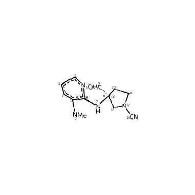 CNc1cccnc1N[C@@]1(C=O)CCN(C#N)C1